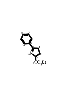 CCOC(=O)C1CCC(c2ccccc2)=N1